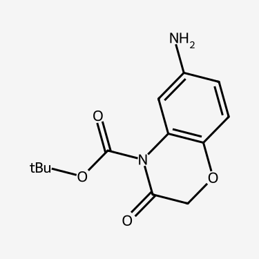 CC(C)(C)OC(=O)N1C(=O)COc2ccc(N)cc21